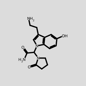 NCCc1cn(C(C(N)=O)N2CCCC2=O)c2ccc(O)cc12